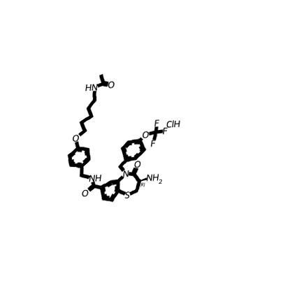 CC(=O)NCCCCCOc1ccc(CNC(=O)c2ccc3c(c2)N(Cc2ccc(OC(F)(F)F)cc2)C(=O)[C@@H](N)CS3)cc1.Cl